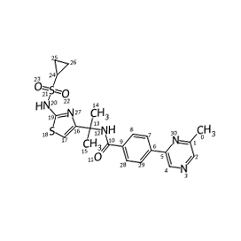 Cc1cncc(-c2ccc(C(=O)NC(C)(C)c3csc(NS(=O)(=O)C4CC4)n3)cc2)n1